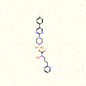 O=C(CS(=O)(=O)N1CCN(c2ncc(-c3ccc(F)cc3)cn2)CC1)N(O)CCCc1ncccn1